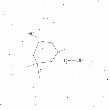 CC1(C)CC(O)CC(C)(OO)C1